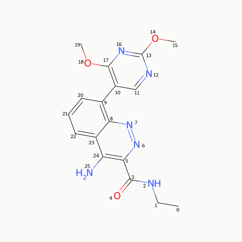 CCNC(=O)c1nnc2c(-c3cnc(OC)nc3OC)cccc2c1N